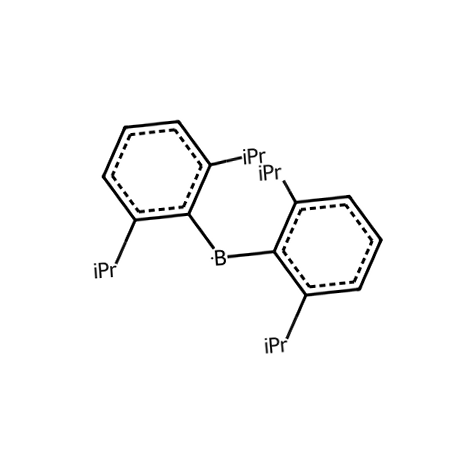 CC(C)c1cccc(C(C)C)c1[B]c1c(C(C)C)cccc1C(C)C